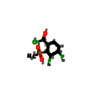 CS(=O)(=O)c1c(C(=O)Cl)ccc(F)c1F